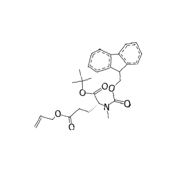 C=CCOC(=O)CC[C@H](C(=O)OC(C)(C)C)N(C)C(=O)OCC1c2ccccc2-c2ccccc21